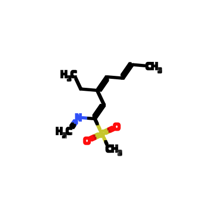 C=N\C(=C/C(=C\C=C\C)CC)S(C)(=O)=O